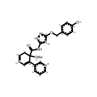 COC1(C(=O)Nc2nnc(OCc3ccc(Cl)cc3)s2)CC=NC=C1c1cccnc1